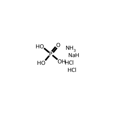 Cl.Cl.N.O=P(O)(O)O.[NaH]